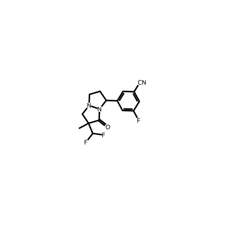 CC1(C(F)F)CN2CCC(c3cc(F)cc(C#N)c3)N2C1=O